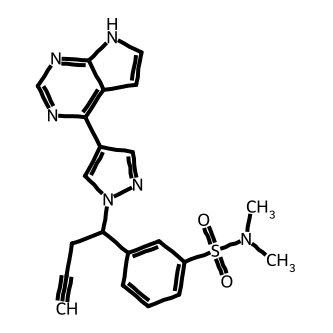 C#CCC(c1cccc(S(=O)(=O)N(C)C)c1)n1cc(-c2ncnc3[nH]ccc23)cn1